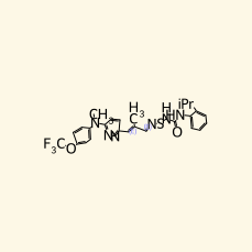 CC(/C=N/SNC(=O)Nc1ccccc1C(C)C)=C\c1ccc(N(C)c2ccc(OC(F)(F)F)cc2)nn1